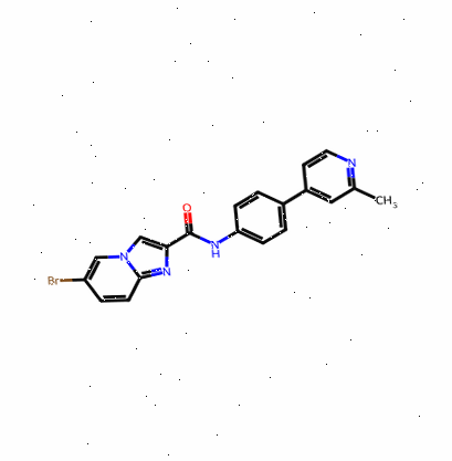 Cc1cc(-c2ccc(NC(=O)c3cn4cc(Br)ccc4n3)cc2)ccn1